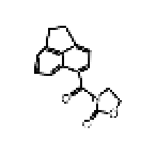 O=C1OCCN1C(=O)c1ccc2c3c(cccc13)CC2